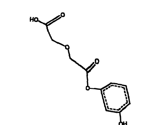 O=C(O)COCC(=O)Oc1cccc(O)c1